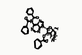 [N-]=[N+]=N[C@]1(CI)O[C@@H](n2cnc3c(N(C(=O)c4ccccc4)C(=O)c4ccccc4)ncnc32)[C@H](OC(=O)c2ccccc2)[C@@H]1F